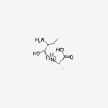 CCC(N)C(=O)O.C[C@H](N)C(=O)O